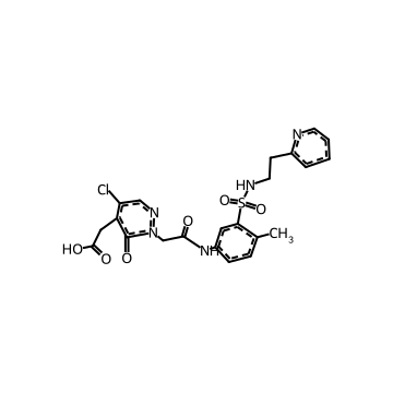 Cc1ccc(NC(=O)Cn2ncc(Cl)c(CC(=O)O)c2=O)cc1S(=O)(=O)NCCc1ccccn1